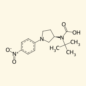 CC(C)(C)N(C(=O)O)[C@@H]1CCN(c2ccc([N+](=O)[O-])cc2)C1